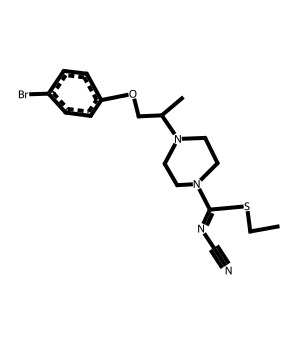 CCSC(=NC#N)N1CCN(C(C)COc2ccc(Br)cc2)CC1